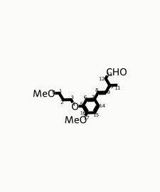 COCCCOc1cc(C=CC(C)CC=O)ccc1OC